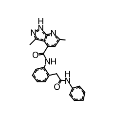 Cc1cc(C(=O)Nc2ccccc2CC(=O)Nc2ccccc2)c2c(C)n[nH]c2n1